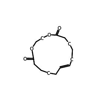 O=C1CCCC/C=C/CCCCC(=O)OCCO1